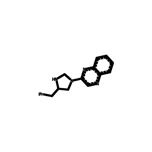 CC(C)CC1CN(c2cnc3ccccc3n2)CN1